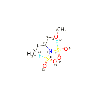 CCC(COC)N(S(=O)(=O)F)S(=O)(=O)F